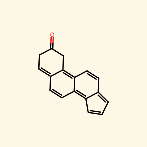 O=C1CC=c2ccc3c4c(ccc3c2C1)=CC=C4